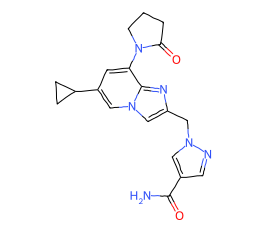 NC(=O)c1cnn(Cc2cn3cc(C4CC4)cc(N4CCCC4=O)c3n2)c1